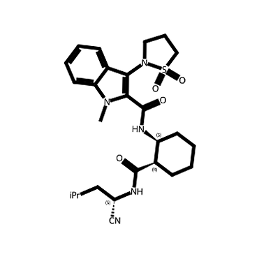 CC(C)C[C@@H](C#N)NC(=O)[C@@H]1CCCC[C@@H]1NC(=O)c1c(N2CCCS2(=O)=O)c2ccccc2n1C